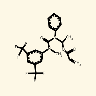 C=CC(=O)OC(C)N(C(=O)N(C)c1cc(C(F)(F)F)cc(C(F)(F)F)c1)c1ccccc1